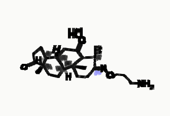 CC[C@H]1/C(=N/OCCN)CC[C@@]2(C)C1C(=O)C[C@@H]1[C@@H]2CC[C@]2(C)C(=O)CC[C@@H]12.Cl